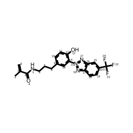 C=C(C)C(=O)NCCCc1ccc(O)c(-n2nc3ccc(C(F)(F)F)cc3n2)c1